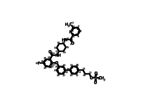 Cc1cccc(C(=O)N[C@H]2CC[C@H](NC(=O)c3cc(F)cnc3Oc3cccc(-c4ccc(CCCOS(C)(=O)=O)cc4)c3)CC2)n1